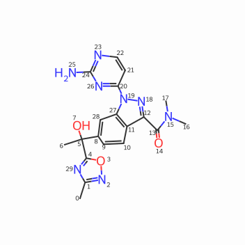 Cc1noc(C(C)(O)c2ccc3c(C(=O)N(C)C)nn(-c4ccnc(N)n4)c3c2)n1